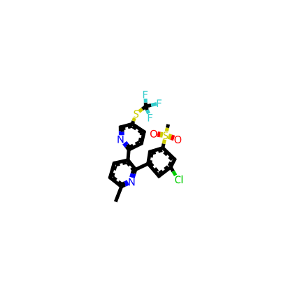 Cc1ccc(-c2ccc(SC(F)(F)F)cn2)c(-c2cc(Cl)cc(S(C)(=O)=O)c2)n1